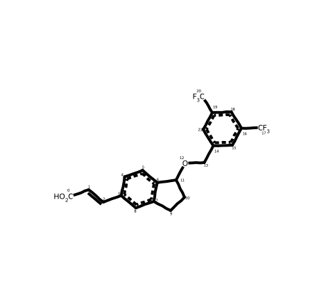 O=C(O)/C=C/c1ccc2c(c1)CCC2OCc1cc(C(F)(F)F)cc(C(F)(F)F)c1